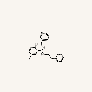 Ic1ccc2nc(-c3cccnc3)nc(NCCc3ccccn3)c2c1